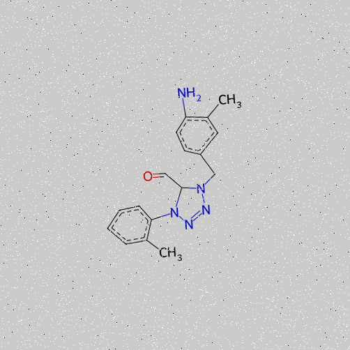 Cc1cc(CN2N=NN(c3ccccc3C)C2C=O)ccc1N